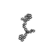 c1ccc(-c2nc(-c3ccc4c(c3)sc3ccc(-c5ccc(-c6nc(-c7ccc(-c8ccc9c(c8)C8(c%10ccccc%10-9)c9cccc%10ccc%11cccc8c%11c9%10)cc7)nc(-c7ccc8c(c7)oc7ccccc78)n6)cc5)cc34)nc(-c3cccc4c3-c3ccccc3C43c4cccc5ccc6cccc3c6c45)n2)cc1